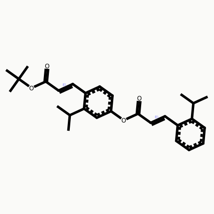 CC(C)c1ccccc1/C=C/C(=O)Oc1ccc(/C=C/C(=O)OC(C)(C)C)c(C(C)C)c1